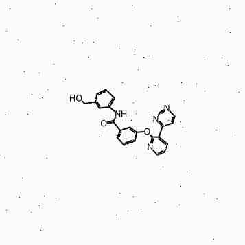 O=C(Nc1cccc(CO)c1)c1cccc(Oc2ncccc2-c2ccncn2)c1